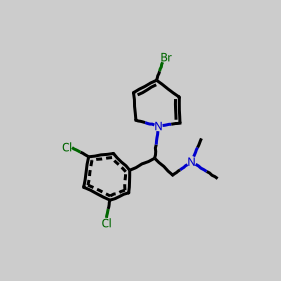 CN(C)CC(c1cc(Cl)cc(Cl)c1)N1C=CC(Br)=CC1